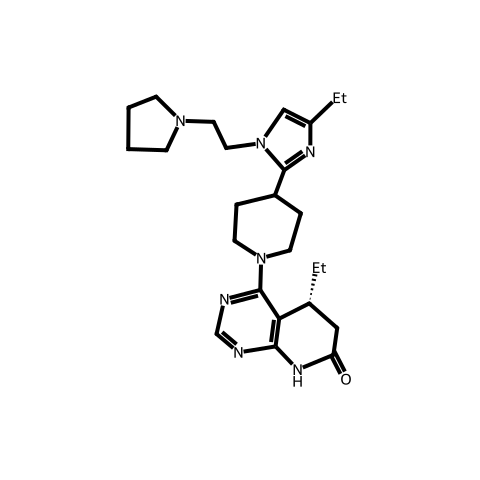 CCc1cn(CCN2CCCC2)c(C2CCN(c3ncnc4c3[C@H](CC)CC(=O)N4)CC2)n1